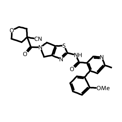 COc1ccccc1-c1cc(C)ncc1C(=O)Nc1nc2c(s1)CN(C(=O)C1(C#N)CCOCC1)C2